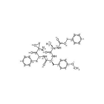 COc1ccc(C[C@H](NC(=O)[C@@H](C)NC(=O)OCc2ccccc2)C(=O)NC(Cc2ccccc2)C(=O)C2(C)CO2)cc1